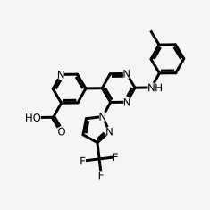 Cc1cccc(Nc2ncc(-c3cncc(C(=O)O)c3)c(-n3ccc(C(F)(F)F)n3)n2)c1